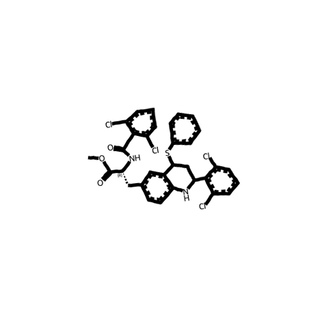 COC(=O)[C@@H](Cc1ccc2c(c1)C(Sc1ccccc1)CC(c1c(Cl)cccc1Cl)N2)NC(=O)c1c(Cl)cccc1Cl